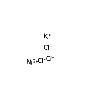 [Cl-].[Cl-].[Cl-].[K+].[Ni+2]